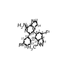 Cn1ncc2c(F)cc(-c3c(-c4cccc(F)c4)nc(N)c4nccn34)cc21